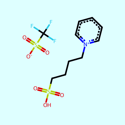 O=S(=O)(O)CCCC[n+]1ccccc1.O=S(=O)([O-])C(F)(F)F